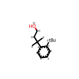 CC(C)(C)c1ccccc1C(C)(C)CCO